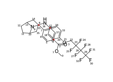 COC(=O)c1ccc(CN2C3CCC2CC(Nc2ccc(OCC(F)(F)C(F)(F)C(F)(F)F)cc2)C3)cc1